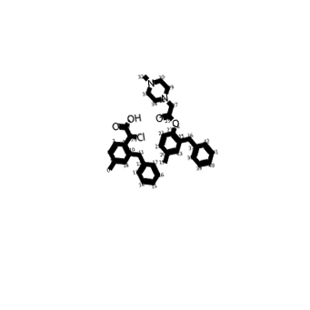 Cc1ccc(C(Cl)C(=O)O)c(Cc2ccccc2)c1.Cc1ccc(OC(=O)CN2CCN(C)CC2)c(Cc2ccccc2)c1